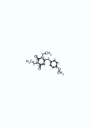 CCn1c(Cc2ccc(OC)cc2)nc(=O)n(CC)c1=O